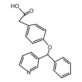 O=C(O)Cc1ccc(OC(c2ccccc2)c2cccnc2)cc1